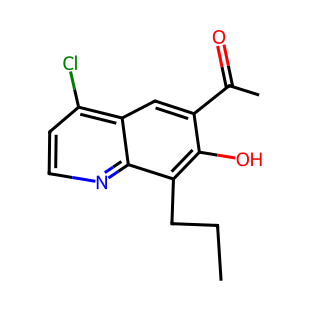 CCCc1c(O)c(C(C)=O)cc2c(Cl)ccnc12